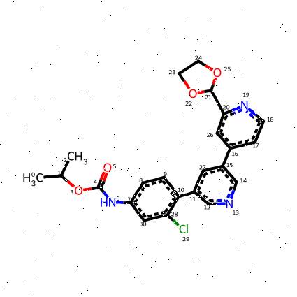 CC(C)OC(=O)Nc1ccc(-c2cncc(-c3ccnc(C4OCCO4)c3)c2)c(Cl)c1